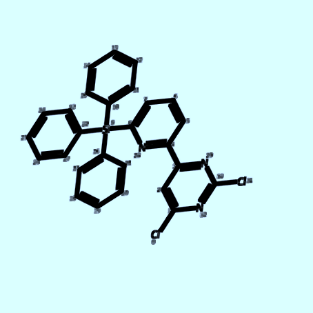 Clc1cc(-c2cccc([Si](c3ccccc3)(c3ccccc3)c3ccccc3)n2)nc(Cl)n1